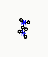 c1ccc(-c2nc(-c3ccccc3)nc(-c3ccc(-c4c5ccccc5c5nc(-c6ccccc6)nc(-c6ccccc6)n45)cc3)n2)cc1